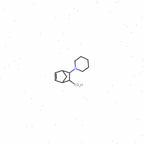 O=C(O)C1C2C=CC(C2)C1N1CCCCC1